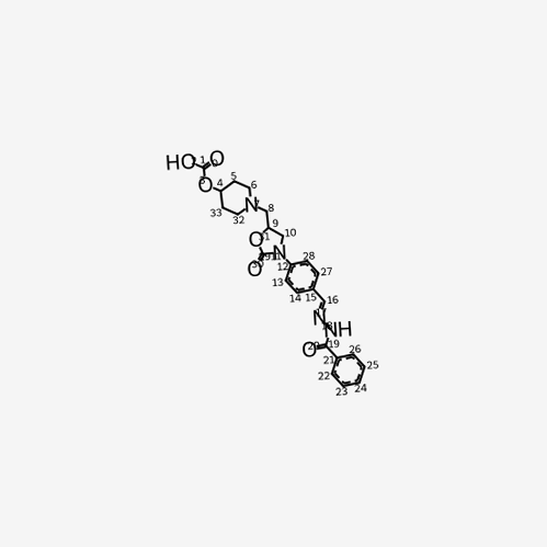 O=C(O)OC1CCN(CC2CN(c3ccc(C=NNC(=O)c4ccccc4)cc3)C(=O)O2)CC1